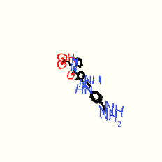 Cc1c(C(=O)N(CCC(=O)O)c2ccccn2)ccc2[nH]c(CNc3ccc(C(=N)N)cc3)nc12